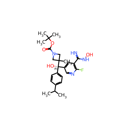 CC(C)c1ccc([C@](O)(c2cnc(F)c(C(=N)NO)c2)C2(C)CN(C(=O)OC(C)(C)C)C2)cc1